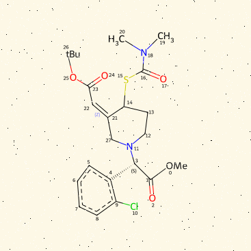 COC(=O)[C@H](c1ccccc1Cl)N1CCC(SC(=O)N(C)C)/C(=C\C(=O)OC(C)(C)C)C1